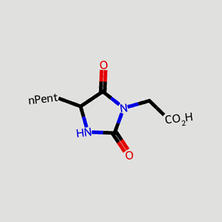 CCCCCC1NC(=O)N(CC(=O)O)C1=O